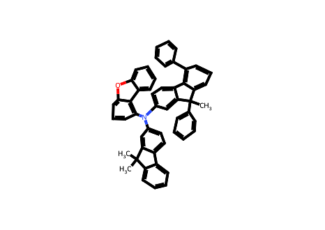 CC1(C)c2ccccc2-c2ccc(N(c3ccc4c(c3)C(C)(c3ccccc3)c3cccc(-c5ccccc5)c3-4)c3cccc4oc5ccccc5c34)cc21